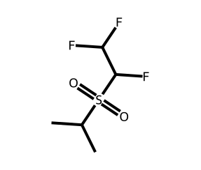 CC(C)S(=O)(=O)C(F)C(F)F